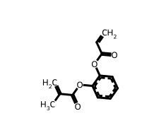 C=CC(=O)Oc1ccccc1OC(=O)C(=C)C